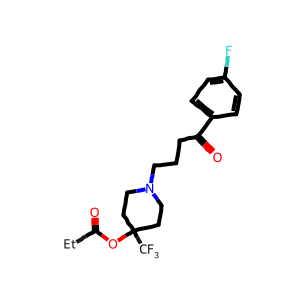 CCC(=O)OC1(C(F)(F)F)CCN(CCCC(=O)c2ccc(F)cc2)CC1